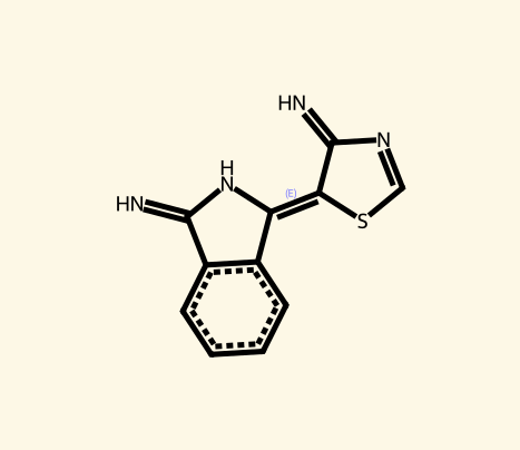 N=C1N=CS/C1=C1/NC(=N)c2ccccc21